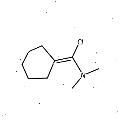 CN(C)C(Cl)=C1CCCCC1